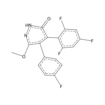 COc1n[nH]c(=O)c(-c2c(F)cc(F)cc2F)c1-c1ccc(F)cc1